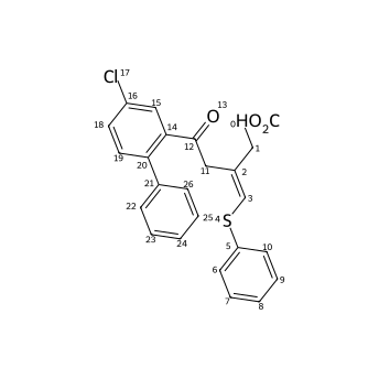 O=C(O)CC(=CSc1ccccc1)CC(=O)c1cc(Cl)ccc1-c1ccccc1